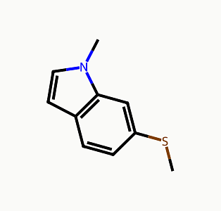 CSc1ccc2ccn(C)c2c1